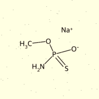 COP(N)([O-])=S.[Na+]